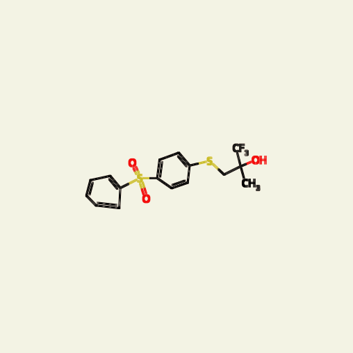 CC(O)(CSc1ccc(S(=O)(=O)c2ccccc2)cc1)C(F)(F)F